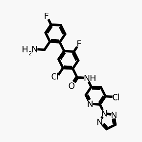 NCc1cc(F)ccc1-c1cc(Cl)c(C(=O)Nc2cnc(-n3nccn3)c(Cl)c2)cc1F